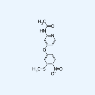 CSc1cc(Oc2ccnc(NC(C)=O)c2)ccc1[N+](=O)[O-]